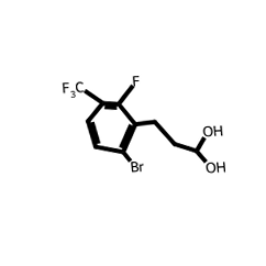 OC(O)CCc1c(Br)ccc(C(F)(F)F)c1F